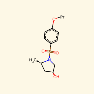 CC(C)Oc1ccc(S(=O)(=O)N2C[C@@H](O)C[C@H]2C)cc1